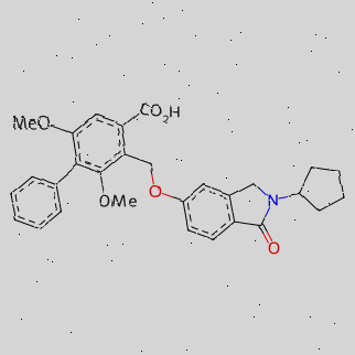 COc1cc(C(=O)O)c(COc2ccc3c(c2)CN(C2CCCC2)C3=O)c(OC)c1-c1ccccc1